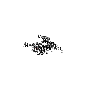 COC(=O)[C@H]1[C@@H](O)[C@@]2(O)c3c(OC)cc(O[C@@H]4O[C@@H]([C@@H](CO[Si](C)(C)C(C)(C)C)OC(=O)Oc5ccc([N+](=O)[O-])cc5)CO[C@H]4OC)cc3O[C@@]2(c2ccc(OC)cc2)[C@@H]1c1ccccc1